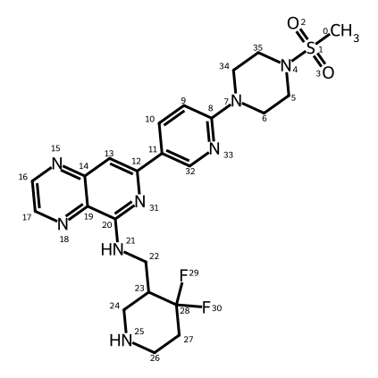 CS(=O)(=O)N1CCN(c2ccc(-c3cc4nccnc4c(NCC4CNCCC4(F)F)n3)cn2)CC1